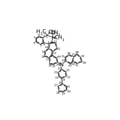 CC1(C)c2ccccc2-c2c(ccc3c2ccc2ccc(N(c4ccc(-c5ccccc5)cc4)c4ccc5ccccc5c4)cc23)C1(C)C